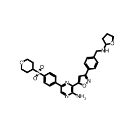 Nc1ncc(-c2ccc(S(=O)(=O)C3CCOCC3)cc2)nc1-c1cc(-c2ccc(CNC3CCCO3)cc2)no1